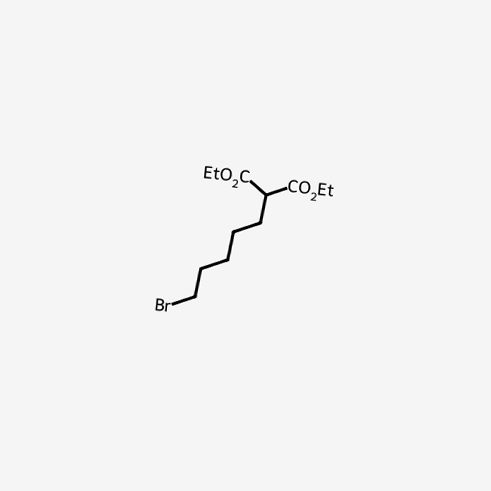 CCOC(=O)C(CCCCCBr)C(=O)OCC